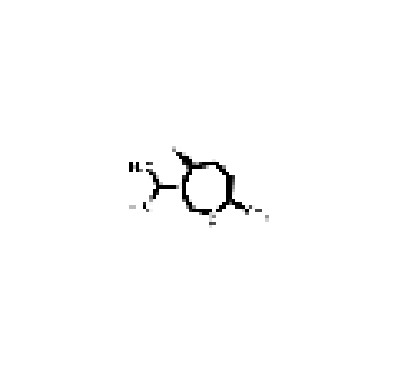 CC1=CCC(=O)N(C(C)C)CN1